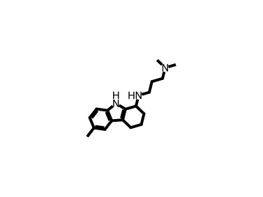 Cc1ccc2[nH]c3c(c2c1)CCCC3NCCCN(C)C